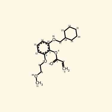 C=CC(=O)Oc1c(OCCOC)cccc1OCC1CCCCC1